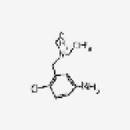 CCN(CC)Cc1cc(N)ccc1Cl